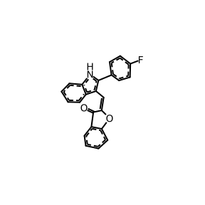 O=C1C(=Cc2c(-c3ccc(F)cc3)[nH]c3ccccc23)Oc2ccccc21